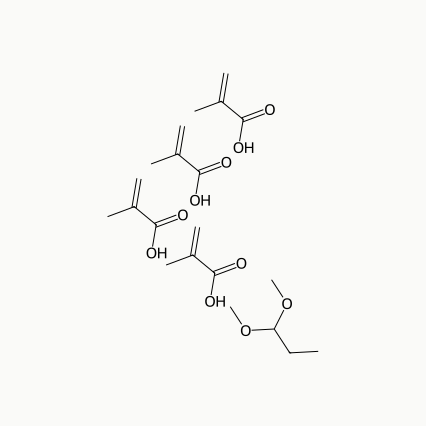 C=C(C)C(=O)O.C=C(C)C(=O)O.C=C(C)C(=O)O.C=C(C)C(=O)O.CCC(OC)OC